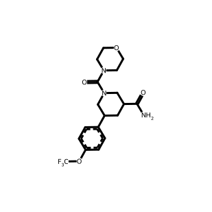 NC(=O)C1CC(c2ccc(OC(F)(F)F)cc2)CN(C(=O)N2CCOCC2)C1